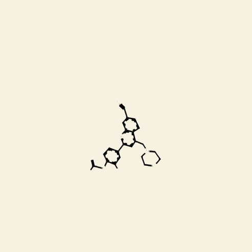 CC(=O)Nc1ccc(-c2cc(CN3CCOCC3)c3ccc(C#N)cc3n2)cc1Cl